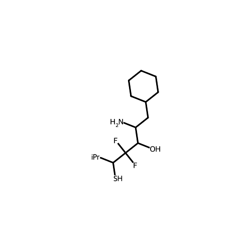 CC(C)C(S)C(F)(F)C(O)C(N)CC1CCCCC1